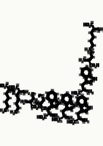 CC(C)C[C@@H](N)C(=O)O.CC(C)C[C@@H](N)C(=O)O.CC(C)C[C@@H](N)C(=O)O.NCCCC[C@H](N)C(=O)O.NCCCC[C@H](N)C(=O)O.NCCCC[C@H](N)C(=O)O.N[C@@H](Cc1c[nH]c2ccccc12)C(=O)O.N[C@@H](Cc1c[nH]c2ccccc12)C(=O)O.N[C@@H](Cc1c[nH]c2ccccc12)C(=O)O.N[C@@H](Cc1c[nH]c2ccccc12)C(=O)O